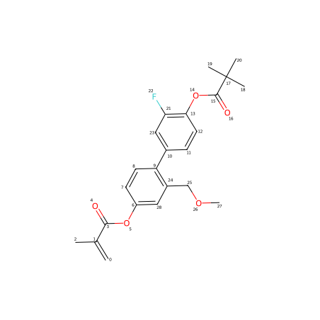 C=C(C)C(=O)Oc1ccc(-c2ccc(OC(=O)C(C)(C)C)c(F)c2)c(COC)c1